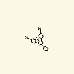 N#Cc1ccc2c3cc(-c4ccccc4)cc4c5ccc(C#N)cc5n(c2c1)c34